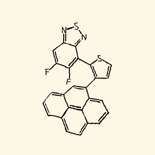 Fc1cc2nsnc2c(-c2sccc2-c2cc3cccc4ccc5cccc2c5c43)c1F